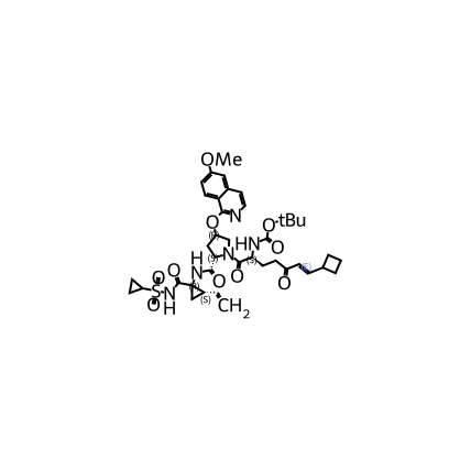 C=C[C@@H]1C[C@]1(NC(=O)[C@@H]1C[C@@H](Oc2nccc3cc(OC)ccc23)CN1C(=O)[C@H](CCC(=O)/C=C/C1CCC1)NC(=O)OC(C)(C)C)C(=O)NS(=O)(=O)C1CC1